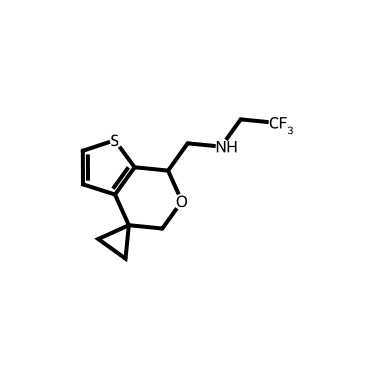 FC(F)(F)CNCC1OCC2(CC2)c2ccsc21